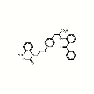 CCCC(=O)N(CCOc1ccc(CC(Nc2ccccc2C(=O)c2ccccc2)C(=O)O)cc1)c1ccccc1OC